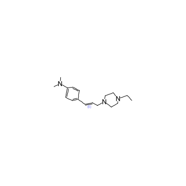 CCN1CCN(C/C=C/c2ccc(N(C)C)cc2)CC1